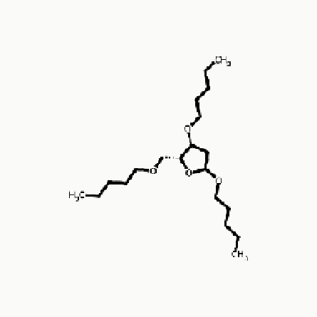 CCCCCOC[C@H]1OC(OCCCCC)C[C@@H]1OCCCCC